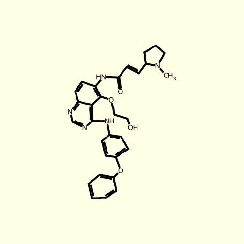 CN1CCCC1C=CC(=O)Nc1ccc2ncnc(Nc3ccc(Oc4ccccc4)cc3)c2c1OCCO